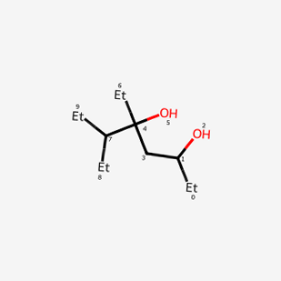 CCC(O)CC(O)(CC)C(CC)CC